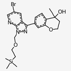 CC1(O)CCOc2cc(-c3nn(COCC[Si](C)(C)C)c4ncc(Br)cc34)ccc21